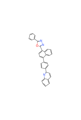 c1ccc(-c2nnc(-c3ccc(-c4ccc(-c5ccc6ccccc6n5)cc4)c4ccccc34)o2)cc1